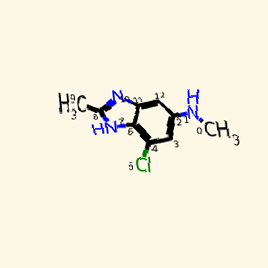 CNc1cc(Cl)c2[nH]c(C)nc2c1